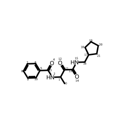 CC(NC(=O)c1ccccc1)C(=O)C(=O)NCC1CCCC1